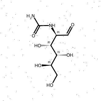 NC(=O)N[C@@H](C=O)[C@@H](O)[C@H](O)[C@H](O)CO